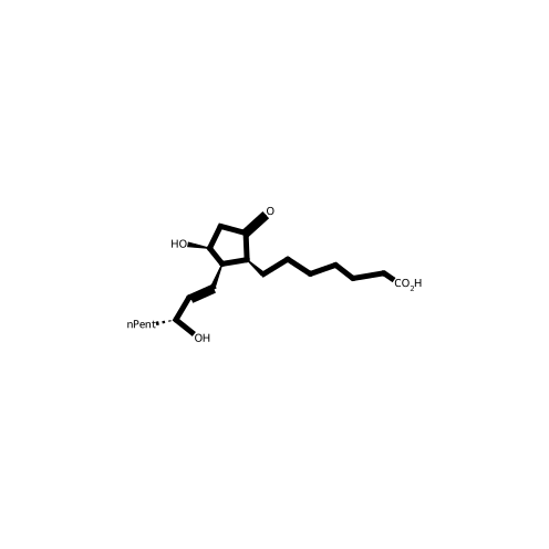 CCCCC[C@@H](O)/C=C/[C@@H]1[C@H](CCCCCCC(=O)O)C(=O)C[C@@H]1O